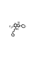 FC(F)(F)c1cnc2[nH]c(C3CCOCC3)cc2c1NCCCN1CCCC1